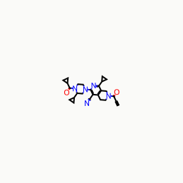 C#CC(=O)N1CCc2c(C#N)c(N3CCN(C(=O)C4CC4)C(C4CC4)C3)nc(C3CC3)c2C1